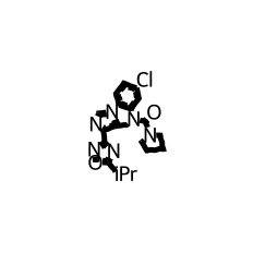 CC(C)c1nc(-c2ncn3c2CN(C(=O)N2CCCC2)c2cc(Cl)ccc2-3)no1